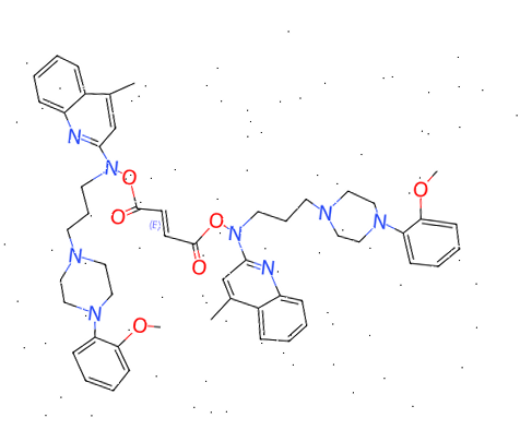 COc1ccccc1N1CCN(CCCN(OC(=O)/C=C/C(=O)ON(CCCN2CCN(c3ccccc3OC)CC2)c2cc(C)c3ccccc3n2)c2cc(C)c3ccccc3n2)CC1